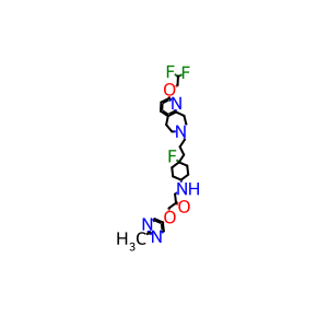 Cc1ncc(OCC(=O)CNC2CCC(F)(CCCN3CCc4ccc(OCC(F)F)nc4CC3)CC2)cn1